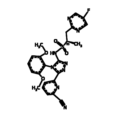 COc1cccc(OC)c1-n1c(NS(=O)(=O)[C@H](C)Cc2ncc(F)cn2)nnc1-c1cccc(C#N)n1